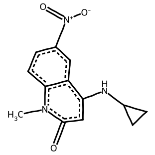 Cn1c(=O)cc(NC2CC2)c2cc([N+](=O)[O-])ccc21